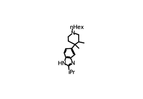 CCCCCCN1CCC(C)(c2ccc3[nH]c(C(C)C)nc3c2)C(C)C1